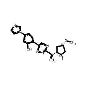 C=C(c1ncc(-c2ccc(-n3ccnc3)cc2O)nn1)[C@@H]1C[C@H](OC)C[C@H]1F